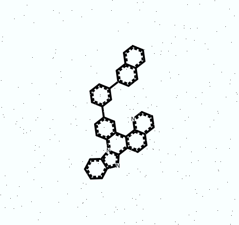 c1cc(-c2ccc3ccccc3c2)cc(-c2ccc3c(c2)c2c(ccc4cccnc42)c2nc4ccccc4n32)c1